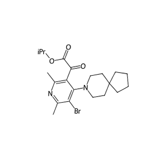 Cc1nc(C)c(C(=O)C(=O)OC(C)C)c(N2CCC3(CCCC3)CC2)c1Br